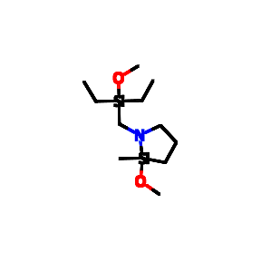 CC[Si](CC)(CN1CCC[Si]1(C)OC)OC